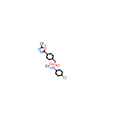 CCOP(=O)(Cc1ccc(-c2nnc(C(F)(F)F)o2)cc1)Nc1ccc(Cl)cc1